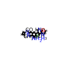 Cc1c(-c2cc3cc(N(C(=O)O)[C@H]4CC[C@@H]4C)ncc3c(N)c2F)cnc2c1NCCO2